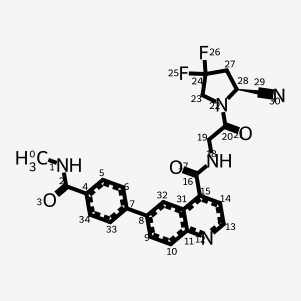 CNC(=O)c1ccc(-c2ccc3nccc(C(=O)NCC(=O)N4CC(F)(F)C[C@H]4C#N)c3c2)cc1